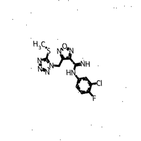 CSc1nnnn1Cc1nonc1C(=N)Nc1ccc(F)c(Cl)c1